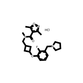 Cc1noc(C)c1C(=O)N(C)CC1CC(Oc2cccc(CN3CCCC3)c2F)C1.Cl